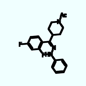 CC(=O)N1CCC(C(=NNc2ccccc2)c2ccc(F)cc2F)CC1